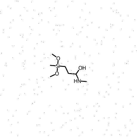 CNC(O)CC[Si](C)(OC)OC